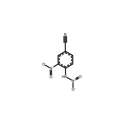 N#Cc1ccc(N[N+](=O)[O-])c([N+](=O)[O-])c1